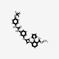 COC(=O)c1cccc(N2CC(Oc3cccc(NC(=O)Nc4ccc(OC(F)(F)F)cc4)c3)C2)c1-n1cccc1